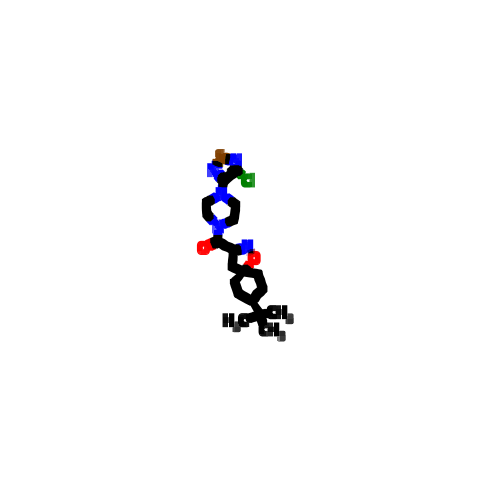 CC(C)(C)[C@H]1CC[C@@]2(CC1)CC(C(=O)N1CCN(c3nsnc3Cl)CC1)=NO2